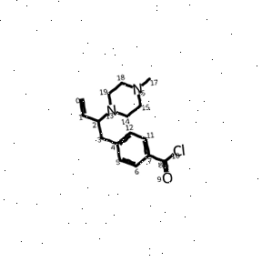 C=CC(Cc1ccc(C(=O)Cl)cc1)N1CCN(C)CC1